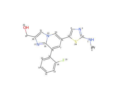 CC(C)Nc1ncc(-c2cc(-c3ccccc3F)c3nc(CO)cn3c2)s1